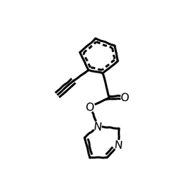 C#Cc1ccccc1C(=O)ON1C=CC=NC1